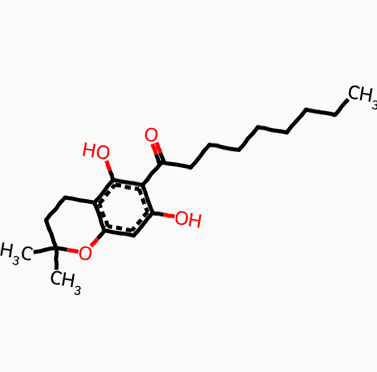 CCCCCCCCC(=O)c1c(O)cc2c(c1O)CCC(C)(C)O2